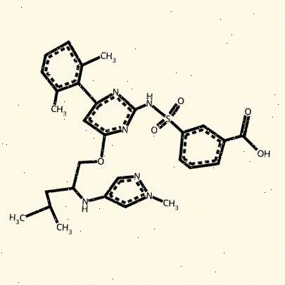 Cc1cccc(C)c1-c1cc(OCC(CC(C)C)Nc2cnn(C)c2)nc(NS(=O)(=O)c2cccc(C(=O)O)c2)n1